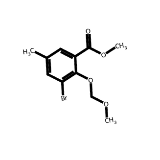 COCOc1c(Br)cc(C)cc1C(=O)OC